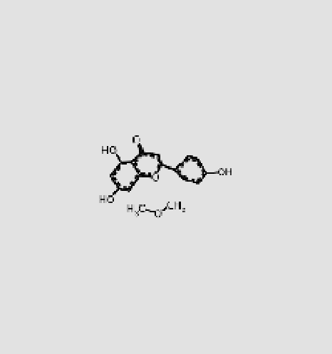 COC.O=c1cc(-c2ccc(O)cc2)oc2cc(O)cc(O)c12